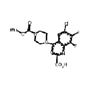 CC(C)(C)OC(=O)N1CCN(c2nc(C(=O)O)nc3c(F)c(I)c(Cl)cc23)CC1